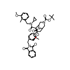 COc1cccc(CN(C(=O)C2=C(c3ccc(CN4C(=O)c5ccccc5C4=O)cc3)CC3CN(C(=O)OC(C)(C)C)CC2N3C(=O)OC(C)(C)C)C2CC2)c1C